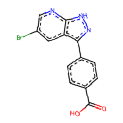 O=C(O)c1ccc(-c2n[nH]c3ncc(Br)cc23)cc1